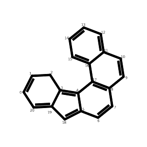 C1=CCC2=c3c(ccc4ccc5ccccc5c34)=CC2=C1